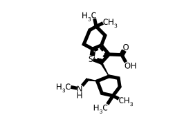 CNC[C@@H]1CC(C)(C)CC[C@@H]1c1sc2c(c1C(=O)O)CC(C)(C)CC2